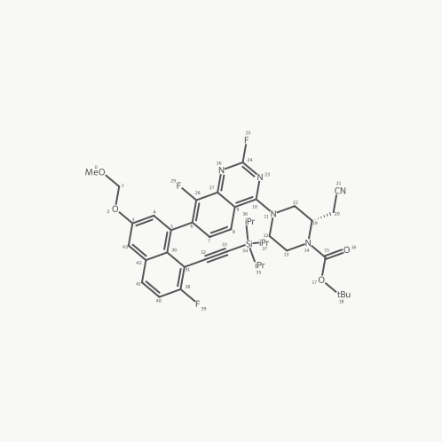 COCOc1cc(-c2ccc3c(N4CCN(C(=O)OC(C)(C)C)[C@@H](CC#N)C4)nc(F)nc3c2F)c2c(C#C[Si](C(C)C)(C(C)C)C(C)C)c(F)ccc2c1